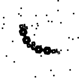 Cc1ccc(-c2ccc(CC(=O)Oc3ccc(-c4ccc(C)cc4)cc3)cc2)cc1